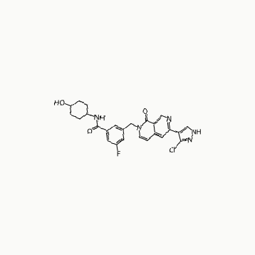 O=C(NC1CCC(O)CC1)c1cc(F)cc(Cn2ccc3cc(-c4c[nH]nc4Cl)ncc3c2=O)c1